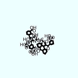 Cn1c(=O)c(C(=O)c2cccc(S(=O)(=O)O)c2)c2c3c(c(Nc4cc(Nc5nc(O)nc(Nc6c(C(=O)O)cccc6C(=O)O)n5)c(S(=O)(=O)O)cc4S(=O)(=O)O)ccc31)C(=O)c1ccccc1-2